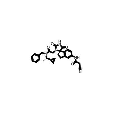 C[C@@H](C1CC1)N(Cc1ccccc1)C(=O)CN1C(=O)NC(=O)[C@@]12CCc1cc(NC(=O)CC#N)ccc12